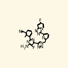 Cc1c(C#N)cccc1-c1nc(N)c(F)c(-c2cn(Cc3cccc(-c4nnc5cc(F)ccn45)n3)nn2)n1